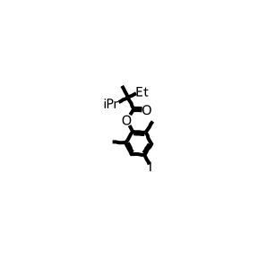 CCC(C)(C(=O)Oc1c(C)cc(I)cc1C)C(C)C